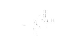 COC1=C2C(=CN(C(C)C)C2O)C=CN1